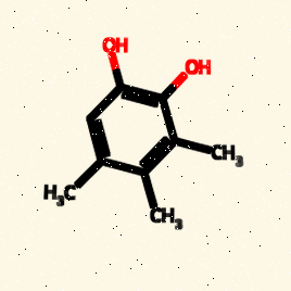 Cc1cc(O)c(O)c(C)c1C